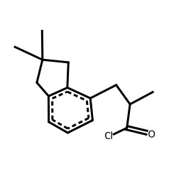 CC(Cc1cccc2c1CC(C)(C)C2)C(=O)Cl